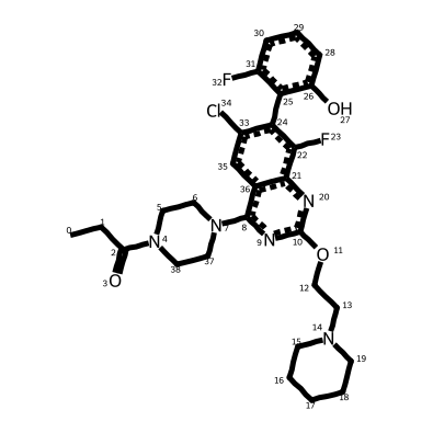 CCC(=O)N1CCN(c2nc(OCCN3CCCCC3)nc3c(F)c(-c4c(O)cccc4F)c(Cl)cc23)CC1